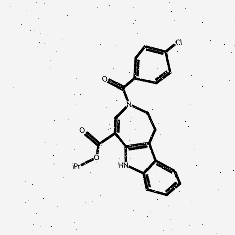 CC(C)OC(=O)C1=CN(C(=O)c2ccc(Cl)cc2)CCc2c1[nH]c1ccccc21